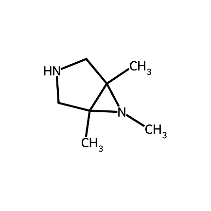 CN1C2(C)CNCC12C